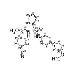 CO[C@@H]1CCN(c2ccc(NC(=O)[C@H](NC[C@@H](C)c3ccc(C#N)cc3)c3ccccc3)nc2)C1